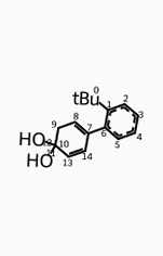 CC(C)(C)c1ccccc1C1=CCC(O)(O)C=C1